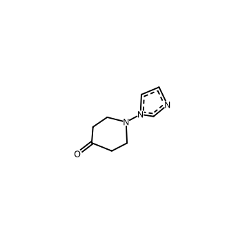 O=C1CCN(n2ccnc2)CC1